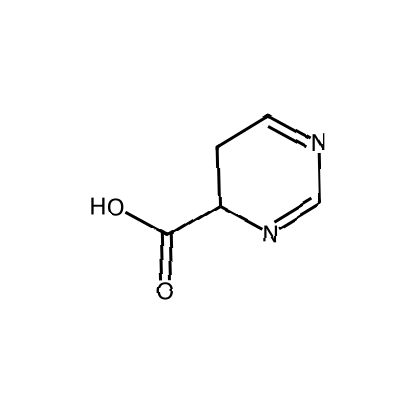 O=C(O)C1CC=NC=N1